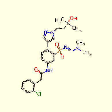 CN(C)/C=N/S(=O)(=O)c1cc(NC(=O)Cc2ccccc2Cl)ccc1-c1cnn(CCC(C)(C)O)c1